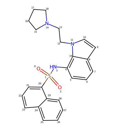 O=S(=O)(Nc1cccc2ccn(CCN3CCCC3)c12)c1cccc2ccccc12